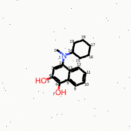 CN(c1cc(O)c(O)c2ccccc12)C1CCCCC1